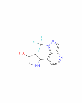 OC1CNC(c2ccnc3cnn(C(F)(F)F)c23)C1